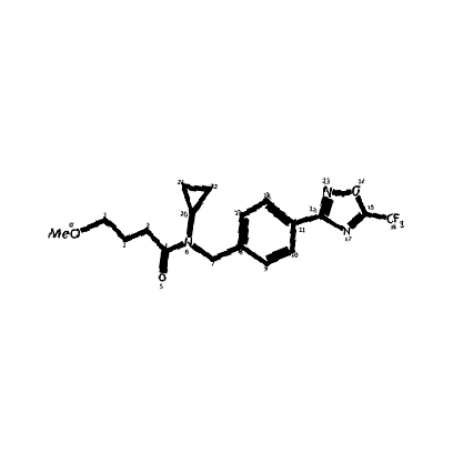 COCCCC(=O)N(Cc1ccc(-c2noc(C(F)(F)F)n2)cc1)C1CC1